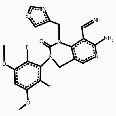 COc1cc(OC)c(F)c(N2Cc3cnc(N)c(C=N)c3N(Cc3cscn3)C2=O)c1F